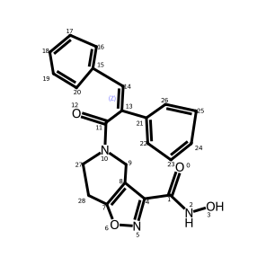 O=C(NO)c1noc2c1CN(C(=O)/C(=C\c1ccccc1)c1ccccc1)CC2